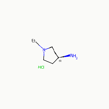 CCN1CC[C@H](N)C1.Cl